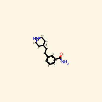 NC(=O)c1cccc(CCC2CCNCC2)c1